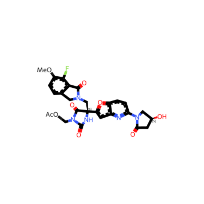 COc1ccc2c(c1F)C(=O)N(C[C@@]1(c3cc4nc(N5C[C@@H](O)CC5=O)ccc4o3)NC(=O)N(COC(C)=O)C1=O)C2